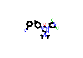 CC(C)N(CCN(C(=O)Nc1cc(Cl)nc(Cl)c1)[C@@H]1CC[C@]2(c3cccc(C#N)c3)CC2C1)C(C)C